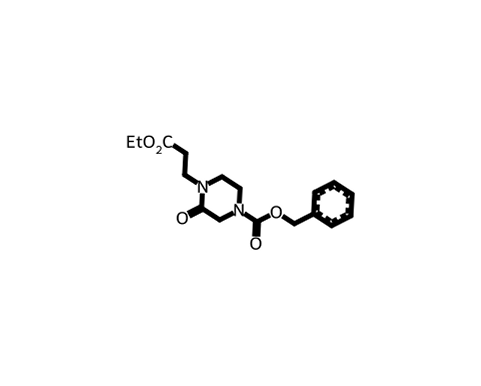 CCOC(=O)CCN1CCN(C(=O)OCc2ccccc2)CC1=O